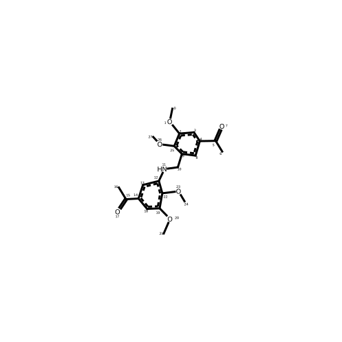 COc1cc(C(C)=O)cc(CNc2cc(C(C)=O)cc(OC)c2OC)c1OC